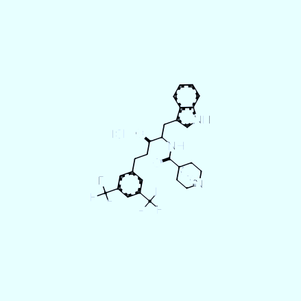 Cl.O=C(CCc1cc(C(F)(F)F)cc(C(F)(F)F)c1)C(Cc1c[nH]c2ccccc12)NC(=O)C12CCN(CC1)CC2